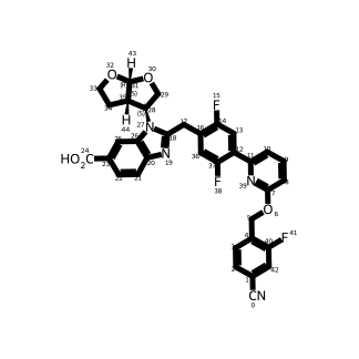 N#Cc1ccc(COc2cccc(-c3cc(F)c(Cc4nc5ccc(C(=O)O)cc5n4[C@@H]4CO[C@H]5OCC[C@H]54)cc3F)n2)c(F)c1